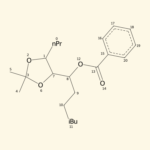 CCCC1OC(C)(C)OC1C(CCC(C)CC)OC(=O)c1ccccc1